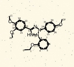 CCOc1ccccc1N1NC(c2ccc(OC)c(OC)c2)=NN1c1ccc(OC)cc1